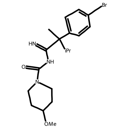 COC1CCN(C(=O)NC(=N)C(C)(c2ccc(Br)cc2)C(C)C)CC1